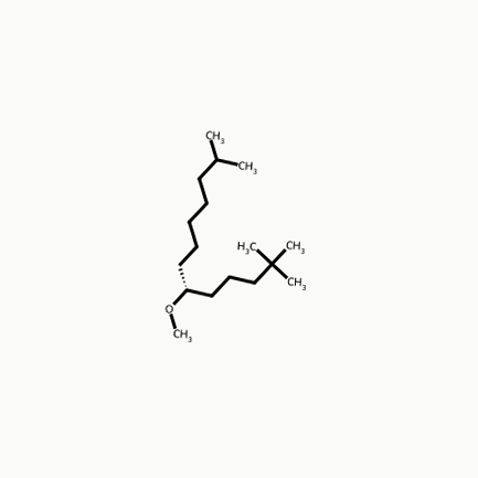 CO[C@H](CCCCCC(C)C)CCCC(C)(C)C